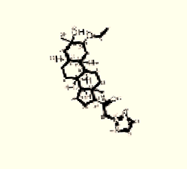 CCO[C@H]1C[C@H]2[C@@H](CC[C@@H]3[C@@H]2CC[C@]2(C)[C@@H](C(=O)Cn4nccn4)CC[C@@H]32)C[C@]1(C)O